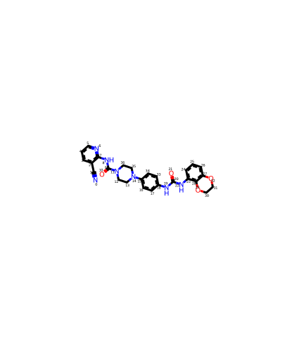 N#Cc1cccnc1NC(=O)N1CCN(c2ccc(NC(=O)Nc3cccc4c3OCCO4)cc2)CC1